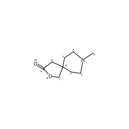 CN1CCC2(CC1)COC(=O)C2